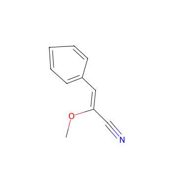 COC(C#N)=Cc1ccccc1